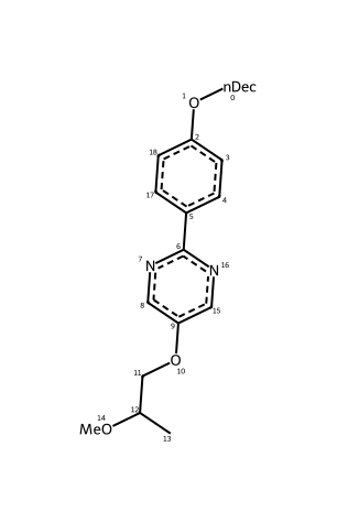 CCCCCCCCCCOc1ccc(-c2ncc(OCC(C)OC)cn2)cc1